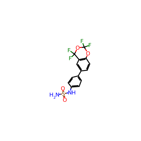 NS(=O)(=O)Nc1ccc(-c2ccc3c(c2)C(F)(F)OC(F)(F)O3)cc1